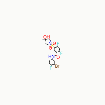 CC1(O)CCN(S(=O)(=O)c2cc(C(=O)Nc3ccc(F)c(Br)c3)c(F)cc2F)CC1